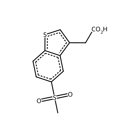 CS(=O)(=O)c1ccc2scc(CC(=O)O)c2c1